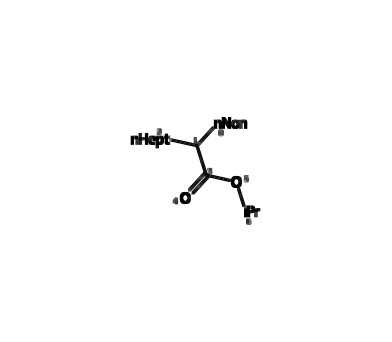 CCCCCCCCCC(CCCCCCC)C(=O)OC(C)C